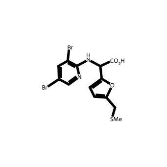 CSCc1ccc(C(Nc2ncc(Br)cc2Br)C(=O)O)o1